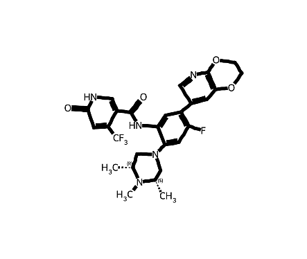 C[C@@H]1CN(c2cc(F)c(-c3cnc4c(c3)OCCO4)cc2NC(=O)c2c[nH]c(=O)cc2C(F)(F)F)C[C@H](C)N1C